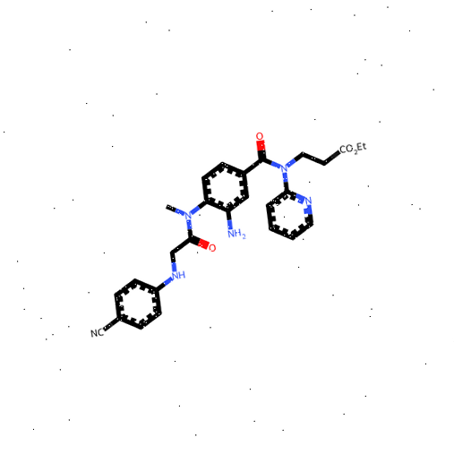 CCOC(=O)CCN(C(=O)c1ccc(N(C)C(=O)CNc2ccc(C#N)cc2)c(N)c1)c1ccccn1